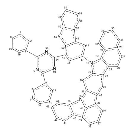 c1ccc(-c2nc(-c3ccccc3)nc(-c3cc(-n4c5cc6c(cc5c5ccc7ccccc7c54)c4cccc5c7ccccc7n6c54)cc4c3sc3ccccc34)n2)cc1